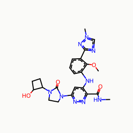 CNC(=O)c1nnc(N2CCN(C3CCC3O)C2=O)cc1Nc1cccc(-c2ncn(C)n2)c1OC